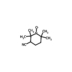 CC1(C)CCC(C#N)C(C)(C)N1[O]